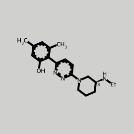 CCN[C@H]1CCCN(c2ccc(-c3c(C)cc(C)cc3O)nn2)C1